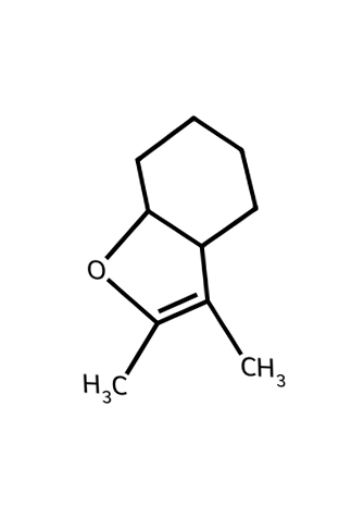 CC1=C(C)C2CCCCC2O1